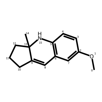 COc1ccc2c(c1)C=C1CCCC1(C)N2